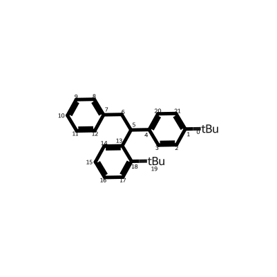 CC(C)(C)c1ccc(C(Cc2ccccc2)c2cc[c]cc2C(C)(C)C)cc1